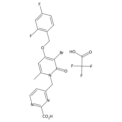 Cc1cc(OCc2ccc(F)cc2F)c(Br)c(=O)n1Cc1ccnc(C(=O)O)n1.O=C(O)C(F)(F)F